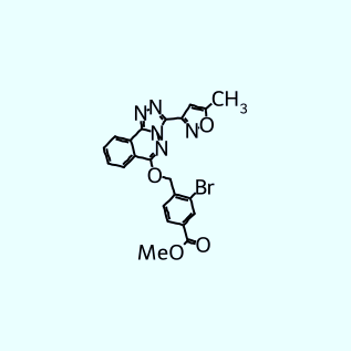 COC(=O)c1ccc(COc2nn3c(-c4cc(C)on4)nnc3c3ccccc23)c(Br)c1